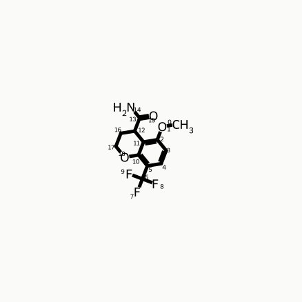 COc1ccc(C(F)(F)F)c2c1C(C(N)=O)CCO2